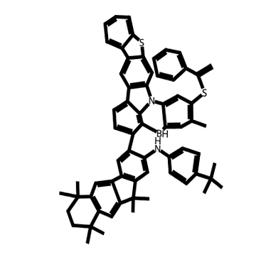 C=C(Sc1cc2c(cc1C)Bc1c(-c3cc4c(cc3Nc3ccc(C(C)(C)C)cc3)C(C)(C)c3cc5c(cc3-4)C(C)(C)CCC5(C)C)ccc3c4cc5c(cc4n-2c13)sc1ccccc15)c1ccccc1